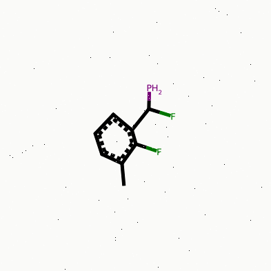 Cc1cccc(C(F)P)c1F